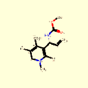 C=C[C@@H](NC(=O)OC(C)(C)C)C1=C(CC)N(C)CC(CC)=C1C(=O)O